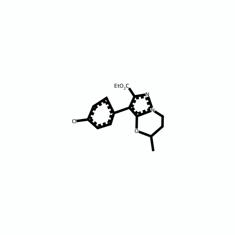 CCOC(=O)c1nn2c(c1-c1ccc(Cl)cc1)OC(C)CC2